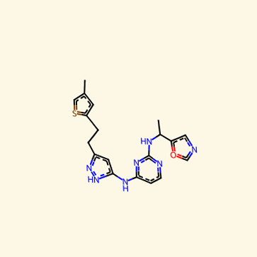 Cc1csc(CCc2cc(Nc3ccnc(NC(C)c4cnco4)n3)[nH]n2)c1